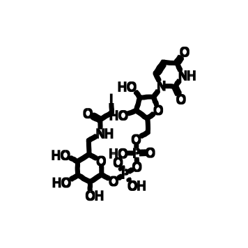 O=C(CI)NCC1OC(OP(=O)(O)OP(=O)(O)OCC2OC(n3ccc(=O)[nH]c3=O)C(O)C2O)C(O)C(O)C1O